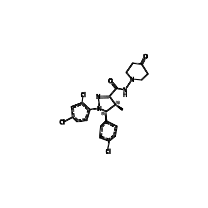 C[C@@H]1C(C(=O)NN2CCC(=O)CC2)=NN(c2ccc(Cl)cc2Cl)[C@@H]1c1ccc(Cl)cc1